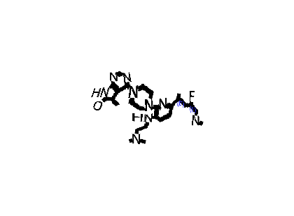 C=N/C=C(F)\C=C(/C)c1ccc(NCCN(C)C)c(N2CCN(c3ncnc4c3C(C)C(=O)N4)CC2)n1